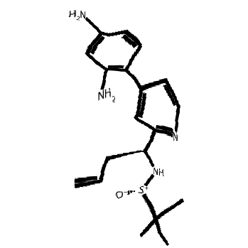 C=CC[C@H](N[S@@+]([O-])C(C)(C)C)c1cc(-c2ccc(N)cc2N)ccn1